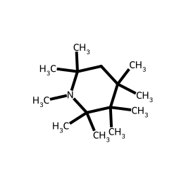 CN1C(C)(C)CC(C)(C)C(C)(C)C1(C)C